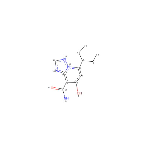 CCC(CC)c1cc(O)c(C([NH])=O)c2ncnn12